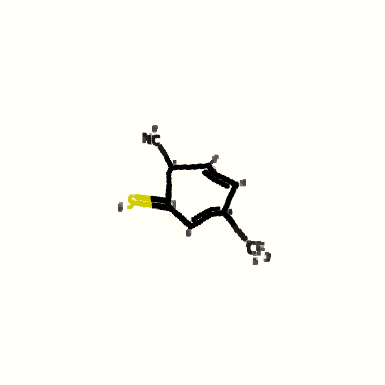 N#CC1C=CC(C(F)(F)F)=CC1=S